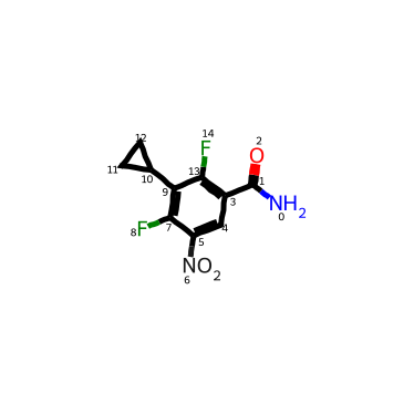 NC(=O)c1cc([N+](=O)[O-])c(F)c(C2CC2)c1F